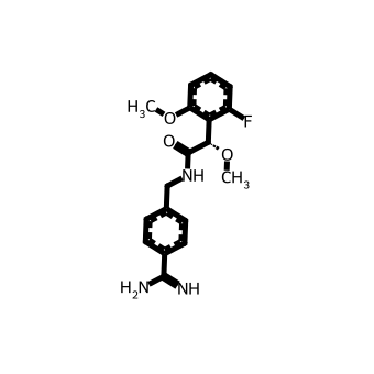 COc1cccc(F)c1[C@H](OC)C(=O)NCc1ccc(C(=N)N)cc1